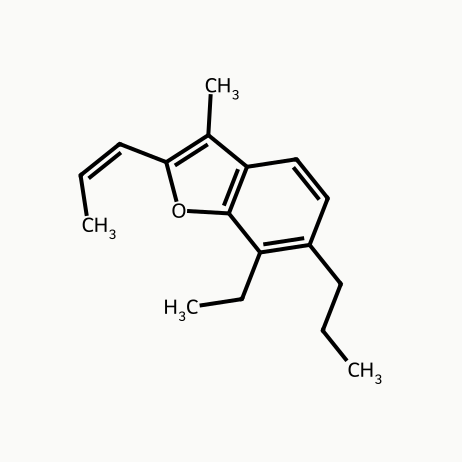 C/C=C\c1oc2c(CC)c(CCC)ccc2c1C